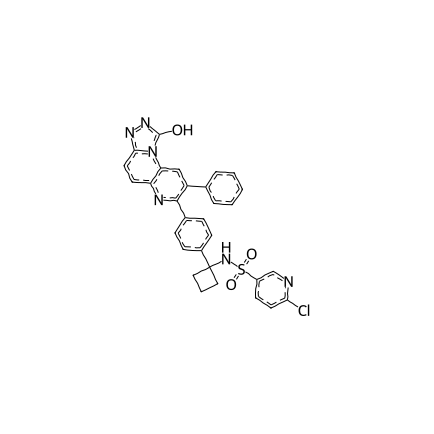 O=S(=O)(NC1(c2ccc(-c3nc4ccc5nnc(O)n5c4cc3-c3ccccc3)cc2)CCC1)c1ccc(Cl)nc1